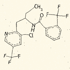 CCC(Cc1ncc(C(F)(F)F)cc1Cl)NC(=O)c1ccccc1C(F)(F)F